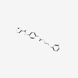 O=C(Nc1ccc(NC(=S)NCCOc2cccc(Br)c2)cc1)c1csnn1